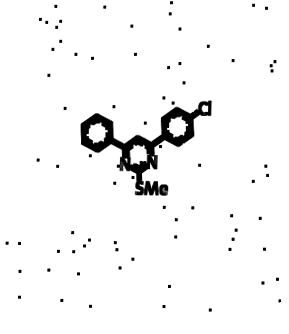 CSc1nc(-c2ccccc2)cc(-c2ccc(Cl)cc2)n1